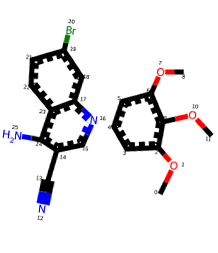 COc1cccc(OC)c1OC.N#Cc1cnc2cc(Br)ccc2c1N